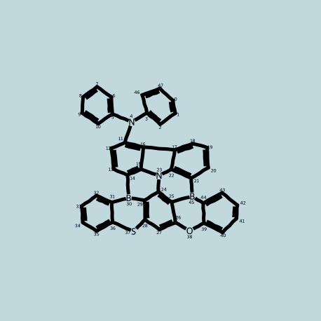 c1ccc(N(c2ccccc2)c2ccc3c4c2c2cccc5c2n4-c2c4c(cc6c2B3c2ccccc2S6)Oc2ccccc2B45)cc1